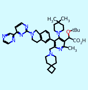 Cc1nc(CN2CCC3(CCC3)CC2)c(-c2ccc3c(c2)CCN(c2nccc(-c4cnccn4)n2)C3)c(N2CCC(C)(C)CC2)c1C(OC(C)(C)C)C(=O)O